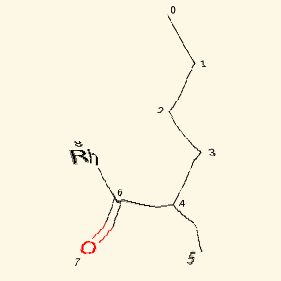 CCCCC(C)[C](=O)[Rh]